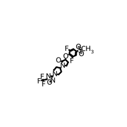 CS(=O)(=O)c1cc(F)c(OC2CCN(C3CCN(c4noc(C(F)(F)F)n4)CC3)C2=O)c(F)c1